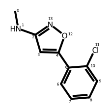 CNc1cc(-c2ccccc2Cl)on1